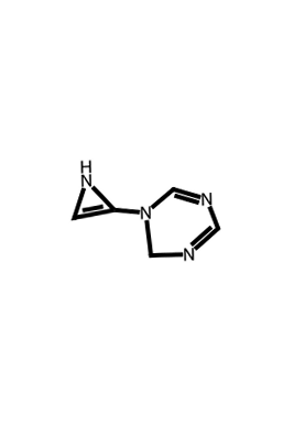 C1=NC=NCN1C1=CN1